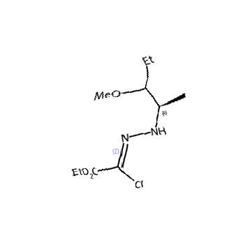 CCOC(=O)/C(Cl)=N/N[C@H](C)C(CC)OC